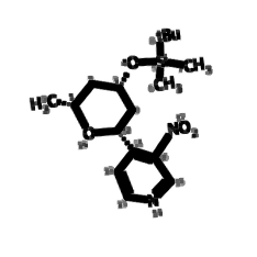 C[C@@H]1C[C@H](O[Si](C)(C)C(C)(C)C)C[C@H](c2ccncc2[N+](=O)[O-])O1